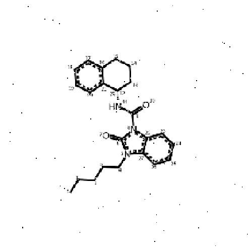 CCCCCn1c(=O)n(C(=O)N[C@H]2CCCc3ccccc32)c2ccccc21